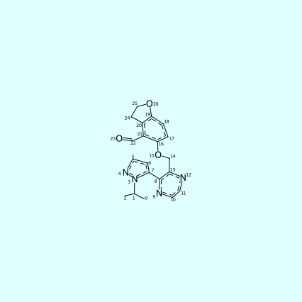 CC(C)n1nccc1-c1nccnc1COc1ccc2c(c1C=O)CCO2